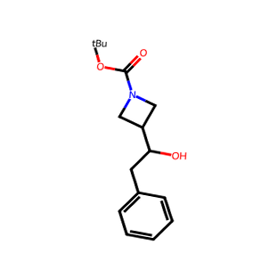 CC(C)(C)OC(=O)N1CC(C(O)Cc2ccccc2)C1